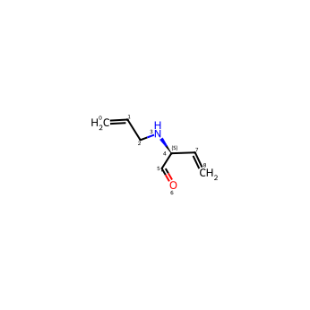 C=CCN[C@H]([C]=O)C=C